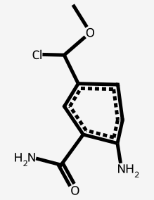 COC(Cl)c1ccc(N)c(C(N)=O)c1